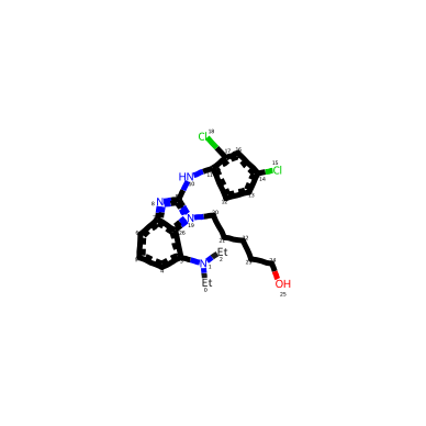 CCN(CC)c1cccc2nc(Nc3ccc(Cl)cc3Cl)n(CCCCCO)c12